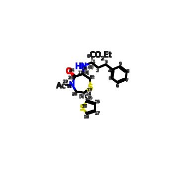 CCOC(=O)[C@H](CCc1ccccc1)N[C@H]1CS[C@H](c2cccs2)CN(C(C)=O)C1=O